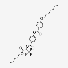 CCCCCCCOc1ccc(C(=O)Oc2ccc(C(=O)OC(C(=O)OCCCCC)C(F)(F)F)cc2)cc1